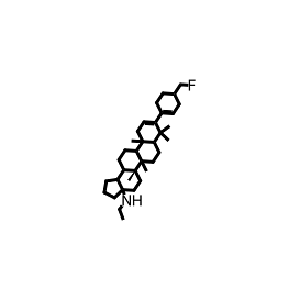 CCNC12CCCC1C1CCC3C4(C)CC=C(C5=CCC(CF)CC5)C(C)(C)C4CCC3(C)[C@]1(C)CC2